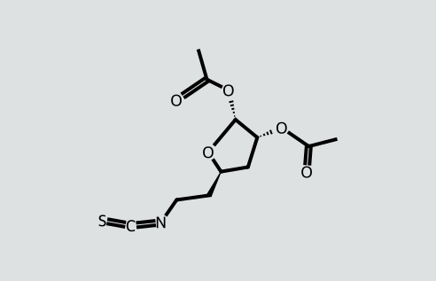 CC(=O)O[C@H]1O[C@H](CCN=C=S)C[C@H]1OC(C)=O